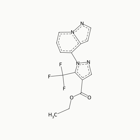 CCOC(=O)c1cnn(-c2cccn3nccc23)c1C(F)(F)F